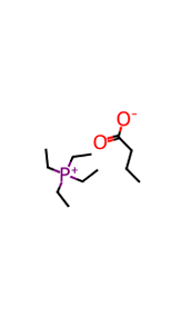 CCCC(=O)[O-].CC[P+](CC)(CC)CC